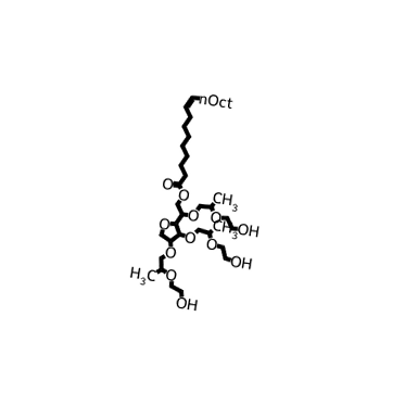 CCCCCCCC/C=C\CCCCCCCC(=O)OCC(OCC(C)OCCO)C1OCC(OCC(C)OCCO)C1OCC(C)OCCO